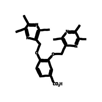 Cc1nc(C)c(COc2ccc(C(=O)O)cc2OCc2nc(C)c(C)nc2C)nc1C